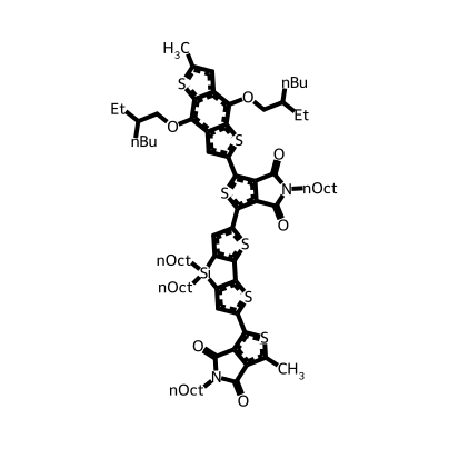 CCCCCCCCN1C(=O)c2c(C)sc(-c3cc4c(s3)-c3sc(-c5sc(-c6cc7c(OCC(CC)CCCC)c8sc(C)cc8c(OCC(CC)CCCC)c7s6)c6c5C(=O)N(CCCCCCCC)C6=O)cc3[Si]4(CCCCCCCC)CCCCCCCC)c2C1=O